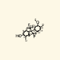 COc1cc(C(c2ccc(O)c(C)c2)(C(F)(F)F)C(F)(F)F)ccc1C